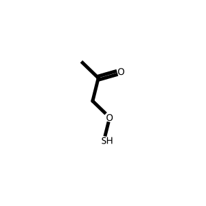 CC(=O)COS